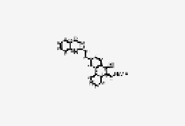 CN/C=C(\C(=N)c1ccc(CCc2ccc3ccccc3n2)cc1)c1ccncc1